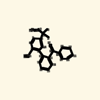 CCCCCC(C)(C)c1ccc(O)c(-c2ccccc2C(=O)c2ccccc2)c1